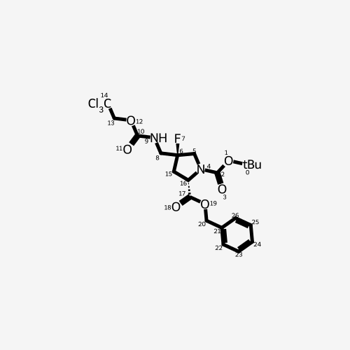 CC(C)(C)OC(=O)N1C[C@@](F)(CNC(=O)OCC(Cl)(Cl)Cl)C[C@H]1C(=O)OCc1ccccc1